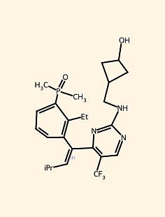 CCc1c(/C(=C\C(C)C)c2nc(NCC3CC(O)C3)ncc2C(F)(F)F)cccc1P(C)(C)=O